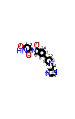 O=C1CCC(N2Cc3cc(C4CCN(Cc5cnccn5)CC4)ccc3C2=O)C(=O)N1